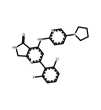 O=C1NCc2nc(-c3c(F)cccc3Cl)cc(Nc3ccc(N4CCCC4)cn3)c21